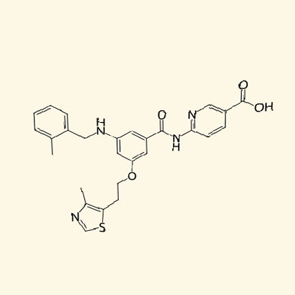 Cc1ccccc1CNc1cc(OCCc2scnc2C)cc(C(=O)Nc2ccc(C(=O)O)cn2)c1